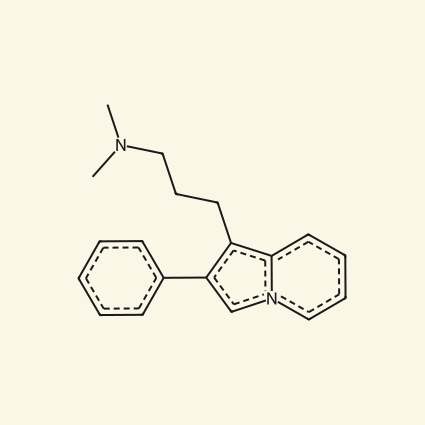 CN(C)CCCc1c(-c2ccccc2)cn2ccccc12